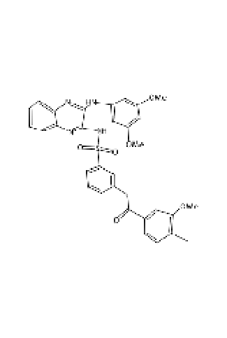 COc1cc(Nc2nc3ccccc3nc2NS(=O)(=O)c2cccc(CC(=O)c3ccc(C)c(OC)c3)c2)cc(OC)c1